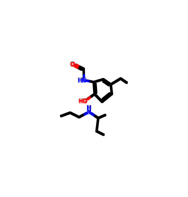 CCCNC(C)CC.CCc1ccc(O)c(NC=O)c1